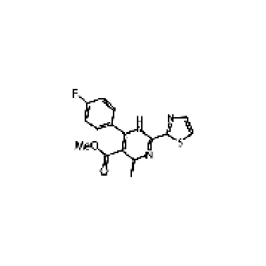 COC(=O)C1=C(c2ccc(F)cc2)NC(c2nccs2)=NC1C